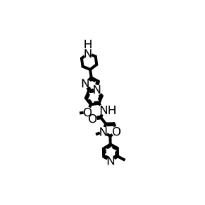 COc1cc2nc(C3CCNCC3)cn2cc1NC(=O)C1=COC(c2ccnc(C)c2)N1C